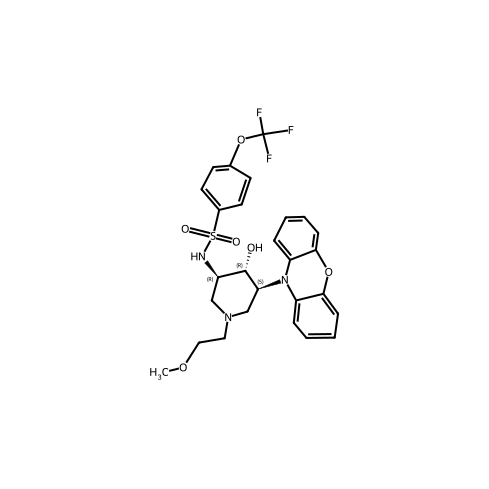 COCCN1C[C@@H](NS(=O)(=O)c2ccc(OC(F)(F)F)cc2)[C@H](O)[C@@H](N2c3ccccc3Oc3ccccc32)C1